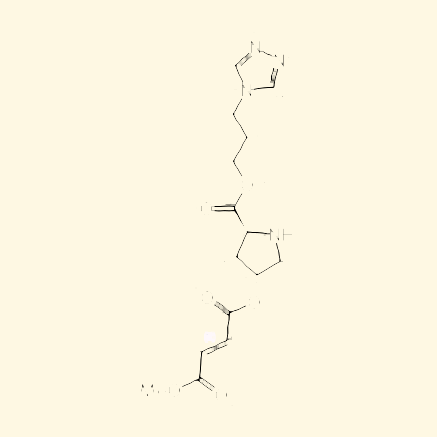 COC(=O)/C=C/C(=O)O[C@H]1CN[C@H](C(=O)OCCCn2cnnc2)C1